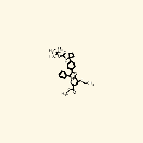 CCOC1=CC(C(=O)OC)=NN2C1=NC(c1ccc(C3(NC(=O)OC(C)(C)C)CCC3)cc1)C2c1ccccc1